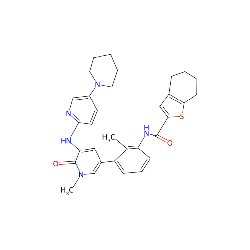 Cc1c(NC(=O)c2cc3c(s2)CCCC3)cccc1-c1cc(Nc2ccc(N3CCCCC3)cn2)c(=O)n(C)c1